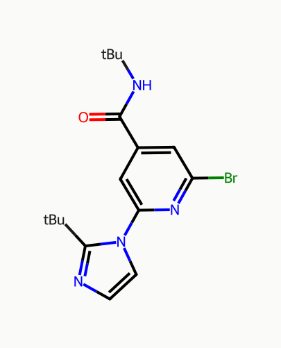 CC(C)(C)NC(=O)c1cc(Br)nc(-n2ccnc2C(C)(C)C)c1